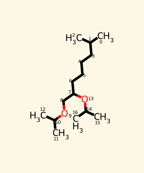 CC(C)CCCCC(COC(C)C)OC(C)C